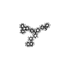 c1cc(-c2cccc(N(c3ccc(-c4ccc5c(c4)sc4ccccc45)cc3)c3ccc(-c4ccc5c6ccccc6c6ccccc6c5c4)cc3)c2)cc(-c2cccc3ccccc23)c1